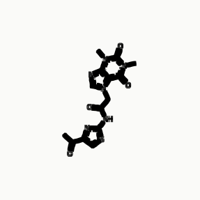 CC(=O)c1csc(NC(=O)Cn2cnc3c2c(=O)n(C)c(=O)n3C)n1